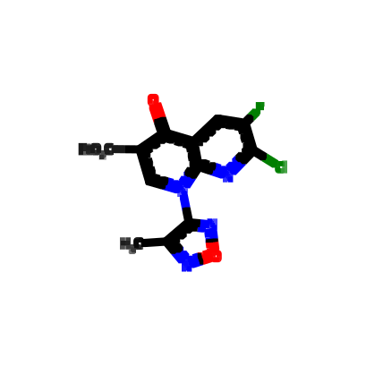 CCOC(=O)c1cn(-c2nonc2C)c2nc(Cl)c(F)cc2c1=O